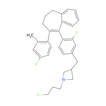 Cc1cc(F)ccc1C1=C(c2ccc(CC3CN(CCCF)C3)cc2F)c2ccccc2CCC1